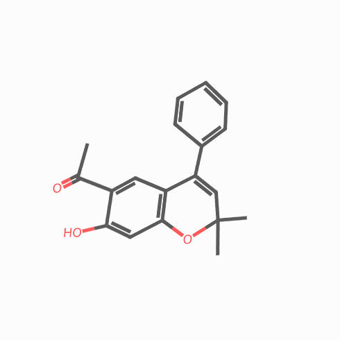 CC(=O)c1cc2c(cc1O)OC(C)(C)C=C2c1ccccc1